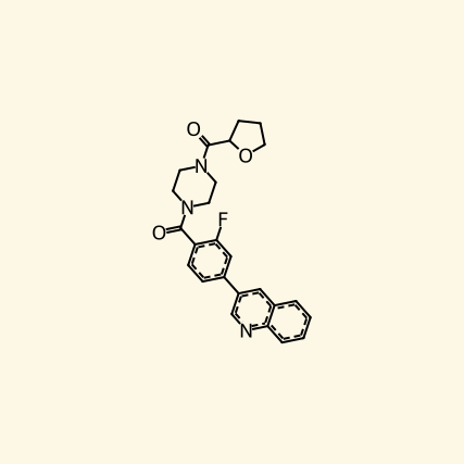 O=C(c1ccc(-c2cnc3ccccc3c2)cc1F)N1CCN(C(=O)C2CCCO2)CC1